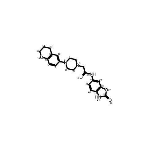 O=C(CN1CCN(c2ccc3c(c2)CCCO3)CC1)Nc1ccc2[nH]c(=O)oc2c1